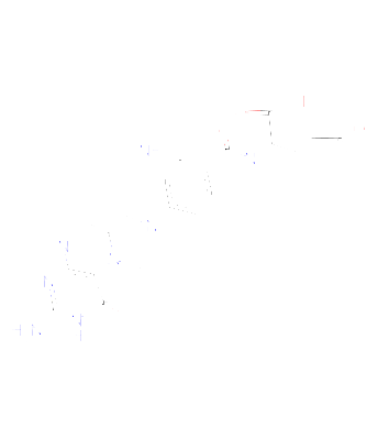 CN1c2c(nc(N)[nH]c2=O)NCC1CNc1ccc(C(=O)NC(CCC(=O)O)C(=O)O)cc1.N